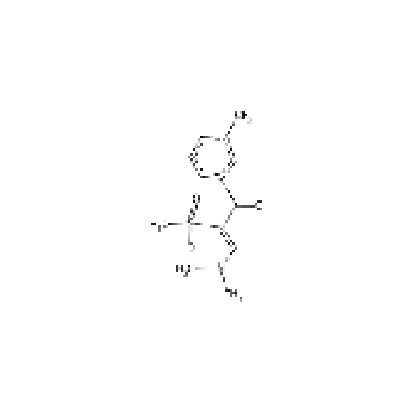 CN(C)C=C(C(=O)c1cccc(C(F)(F)F)c1)S(C)(=O)=O